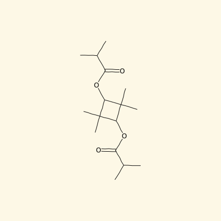 CC(C)C(=O)OC1C(C)(C)C(OC(=O)C(C)C)C1(C)C